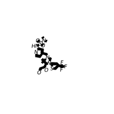 CN(C)S(=O)(=O)Nc1cc(CN2CN(c3cc(C(F)(F)F)cs3)C(C(=O)C=O)C2(C)C)ccn1